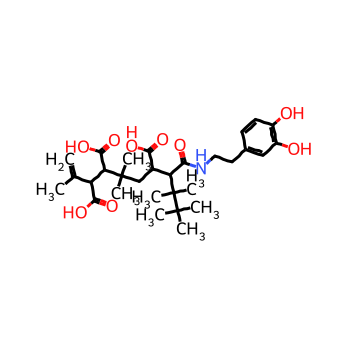 C=C(C)C(C(=O)O)C(C(=O)O)C(C)(C)CC(C(=O)O)C(C(=O)NCCc1ccc(O)c(O)c1)C(C)(C)C(C)(C)C